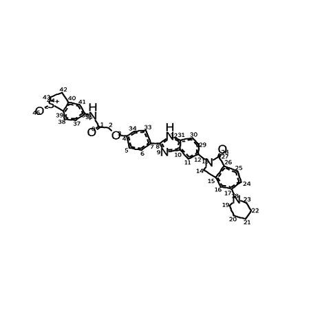 O=C(COc1ccc(-c2nc3cc(N4Cc5cc(N6CCCCC6)ccc5C4=O)ccc3[nH]2)cc1)Nc1ccc2c(c1)CC[S+]2[O-]